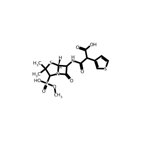 COP(=O)(O)C1N2C(=O)C(NC(=O)C(C(=O)O)c3ccsc3)[C@H]2SC1(C)C